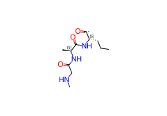 CCC[C@@H]([C]=O)NC(=O)[C@H](C)NC(=O)CNC